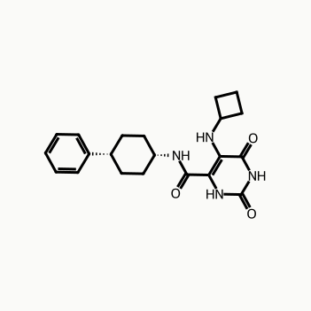 O=C(N[C@H]1CC[C@@H](c2ccccc2)CC1)c1[nH]c(=O)[nH]c(=O)c1NC1CCC1